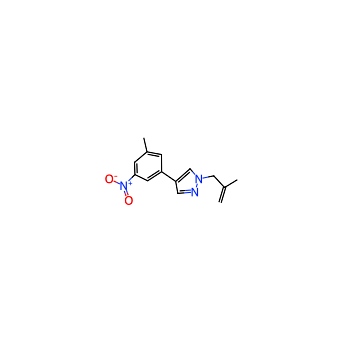 C=C(C)Cn1cc(-c2cc(C)cc([N+](=O)[O-])c2)cn1